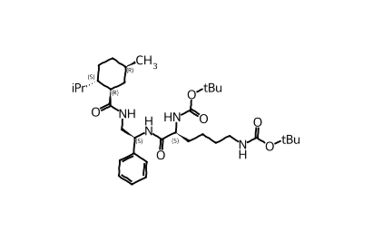 CC(C)[C@@H]1CC[C@@H](C)C[C@H]1C(=O)NC[C@@H](NC(=O)[C@H](CCCCNC(=O)OC(C)(C)C)NC(=O)OC(C)(C)C)c1ccccc1